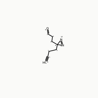 C#CCCC1(CCC=O)N=N1